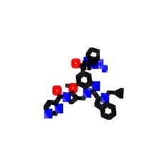 COc1cc(C(=O)N2CC3CCC2[C@@H]3N)cc2nc(-c3cc4ccccc4n3CC3CC3)n(CC3CN(C(=O)c4ccncn4)C3)c12